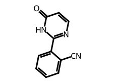 N#Cc1ccccc1-c1nccc(=O)[nH]1